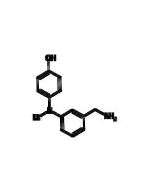 CCN(c1ccc(O)cc1)c1cccc(CN)c1